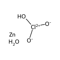 O.[O-][Cl+2]([O-])O.[Zn]